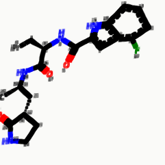 CC(C)C[C@@H](NC(=O)c1cc2c(F)cccc2[nH]1)C(=O)N[C@H](C#N)C[C@@H]1CCNC1=O